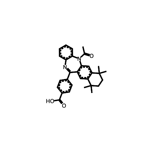 CC(=O)N1c2ccccc2N=C(c2ccc(C(=O)O)cc2)c2cc3c(cc21)C(C)(C)CCC3(C)C